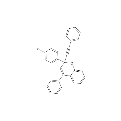 Brc1ccc(C2(C#Cc3ccccc3)C=C(c3ccccc3)c3ccccc3O2)cc1